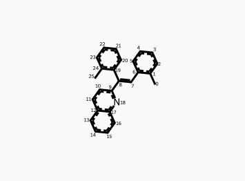 Cc1ccccc1C=C(c1ccc2ccccc2n1)c1ccccc1C